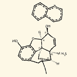 CN1CC[C@]23c4c5ccc(O)c4O[C@H]2[C@@H](O)C=C[C@H]3[C@H]1C5.S.c1ccc2ncccc2c1